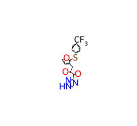 O=C(Cc1ccoc1Sc1ccc(C(F)(F)F)cc1)C(=O)c1nc[nH]n1